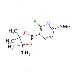 CSc1ccc(B2OC(C)(C)C(C)(C)O2)c(F)n1